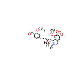 COc1cc(CCC(=O)CC2c3c(cc4c(c3OC)OCO4)CC[N+]2(C)C)ccc1C=O